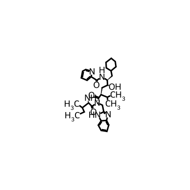 CCC(C)[C@H](N)C(=O)N(Cc1nc2ccccc2[nH]1)C(=O)[C@@H](C[C@H](O)[C@H](CC1CCCCC1)NC(=O)c1ccccn1)C(C)C